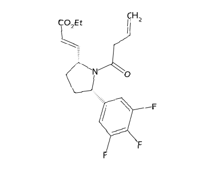 C=CCC(=O)N1[C@@H](C=CC(=O)OCC)CC[C@H]1c1cc(F)c(F)c(F)c1